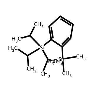 CC(C)[Si](c1cccc[c]1[Sn]([CH3])([CH3])[CH3])(C(C)C)C(C)C